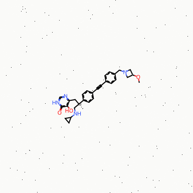 COC1CN(Cc2ccc(C#Cc3ccc([C@@](C)(CNC4CC4)Cc4nc[nH]c(=O)c4O)cc3)cc2)C1